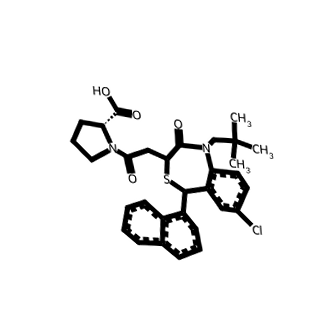 CC(C)(C)CN1C(=O)C(CC(=O)N2CCC[C@@H]2C(=O)O)SC(c2cccc3ccccc23)c2cc(Cl)ccc21